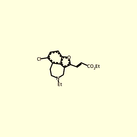 CCOC(=O)C=Cc1oc2ccc(Cl)c3c2c1CN(CC)CC3